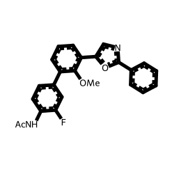 COc1c(-c2ccc(NC(C)=O)c(F)c2)cccc1-c1cnc(-c2ccccc2)o1